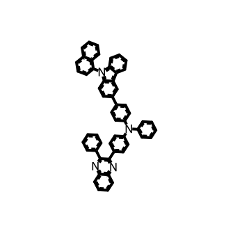 c1ccc(-c2nc3ccccc3nc2-c2ccc(N(c3ccccc3)c3ccc(-c4ccc5c(c4)c4ccccc4n5-c4cccc5ccccc45)cc3)cc2)cc1